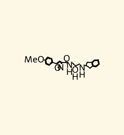 COc1ccc(-c2cc(C(=O)NCC(O)CNC3Cc4ccccc4C3)no2)cc1